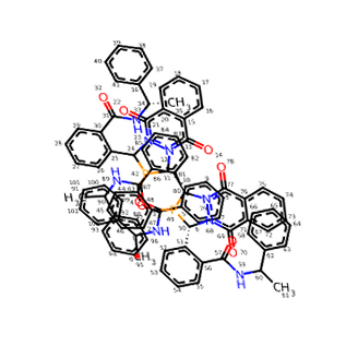 CC(NC(=O)c1ccccc1[C@H]1n2c(=O)c3ccccc3c(=O)n2C(c2ccccc2C(=O)N[C@@H](C)c2ccccc2)P1c1ccccc1P1[C@@H](c2ccccc2C(=O)NC(C)c2ccccc2)n2c(=O)c3ccccc3c(=O)n2[C@@H]1c1ccccc1C(=O)NC(C)c1ccccc1)c1ccccc1